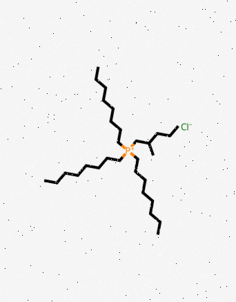 CCCCCCCC[P+](CCCCCCCC)(CCCCCCCC)CC(C)CCC.[Cl-]